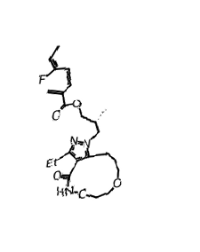 C=C(/C=C\C(F)=C/C)C(=O)OC[C@H](C)Cn1nc(CC)c2c1CCCOCCCNC2=O